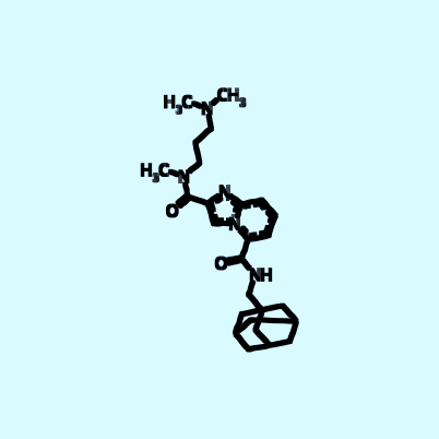 CN(C)CCCN(C)C(=O)c1cn2c(C(=O)NCC34CC5CC(CC(C5)C3)C4)cccc2n1